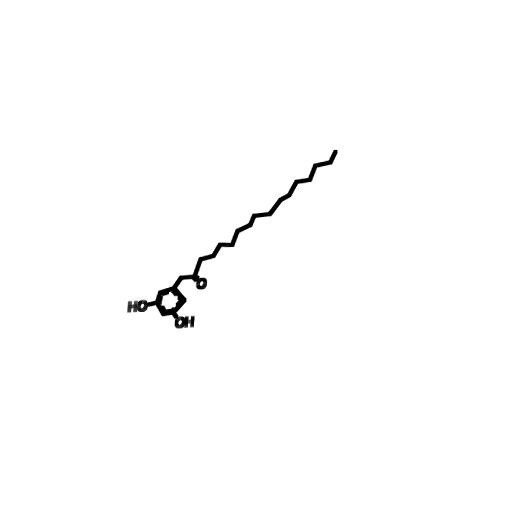 CCCCCCCCCCCCCCCC(=O)Cc1cc(O)cc(O)c1